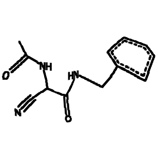 CC(=O)NC(C#N)C(=O)NCc1ccccc1